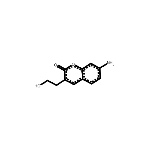 Nc1ccc2cc(CCO)c(=O)oc2c1